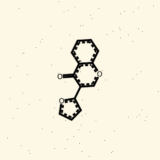 O=c1c(-c2ccco2)coc2ccccc12